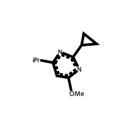 COc1cc(C(C)C)nc(C2CC2)n1